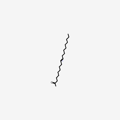 CCCCCCCCC/C=C/CCCCCCCC(C)=O